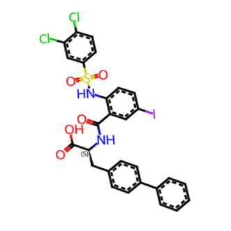 O=C(N[C@@H](Cc1ccc(-c2ccccc2)cc1)C(=O)O)c1cc(I)ccc1NS(=O)(=O)c1ccc(Cl)c(Cl)c1